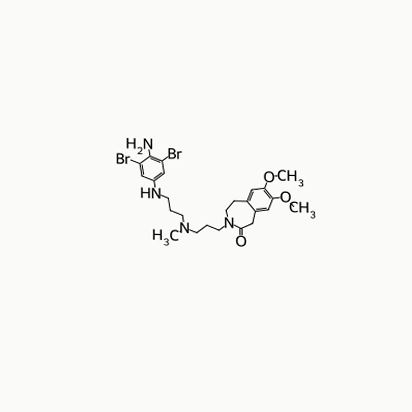 COc1cc2c(cc1OC)CC(=O)N(CCCN(C)CCCNc1cc(Br)c(N)c(Br)c1)CC2